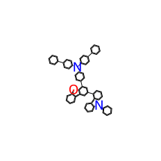 c1ccc(-c2ccc(N(c3ccc(-c4ccccc4)cc3)c3ccc(-c4cc(-c5cccc6c5c5ccccc5n6-c5ccccc5)cc5c4oc4ccccc45)cc3)cc2)cc1